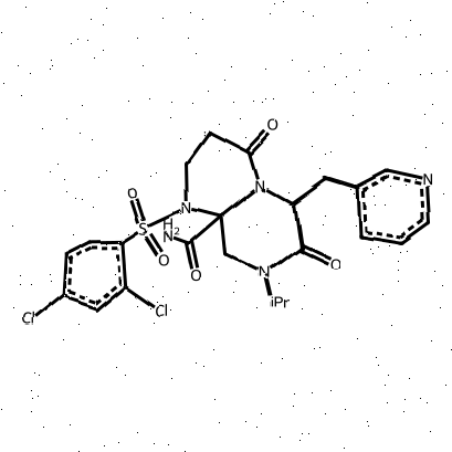 CC(C)N1CC2(C(N)=O)N(C(=O)[C]CN2S(=O)(=O)c2ccc(Cl)cc2Cl)C(Cc2cccnc2)C1=O